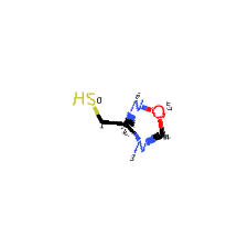 SCc1ncon1